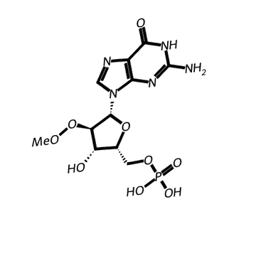 COO[C@@H]1[C@@H](O)[C@@H](COP(=O)(O)O)O[C@H]1n1cnc2c(=O)[nH]c(N)nc21